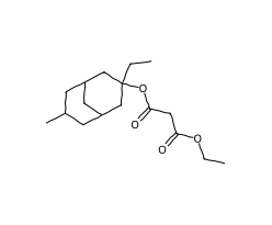 CCOC(=O)CC(=O)OC1(CC)CC2CC(C)CC(C2)C1